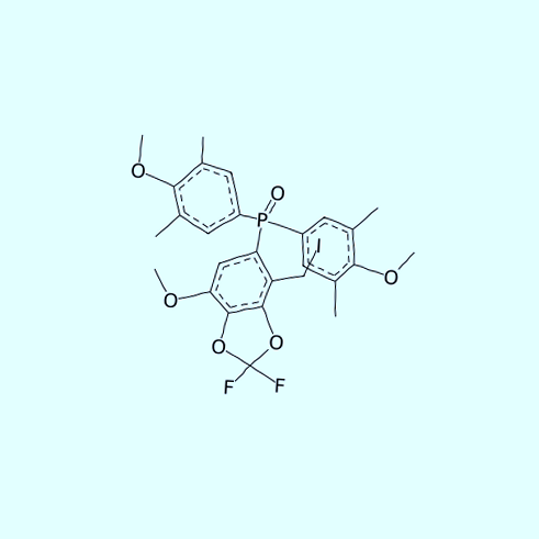 COc1cc(P(=O)(c2cc(C)c(OC)c(C)c2)c2cc(C)c(OC)c(C)c2)c(CI)c2c1OC(F)(F)O2